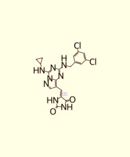 O=C1NC(=O)/C(=C/c2cnn3c(NC4CC4)nc(NCc4cc(Cl)cc(Cl)c4)nc23)N1